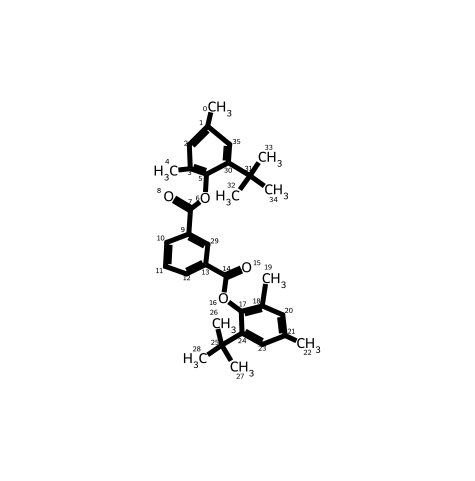 Cc1cc(C)c(OC(=O)c2cccc(C(=O)Oc3c(C)cc(C)cc3C(C)(C)C)c2)c(C(C)(C)C)c1